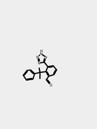 CC(C)(c1ccccc1)c1c(C=O)cccc1-c1nn[nH]n1